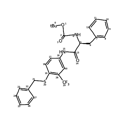 CC(C)(C)OC(=O)N[C@@H](Cc1ccccc1)C(=O)Nc1ccc(SCc2ccccc2)c(C(F)(F)F)c1